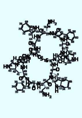 CC1(C)NC2NC(=O)[C@H](Cc3c[nH]c4ccccc34)NC(=O)[C@H](CCN)NC(=O)[C@@H](Cc3ccccc3)NC(=O)[C@H](Cc3c[nH]cn3)NC(=O)C(C)(C)NC(=O)[C@H](CSS2)NC(=O)[C@H](Cc2c[nH]c3ccccc23)NC(=O)[C@H](CCN)NC(=O)[C@@H](Cc2ccccc2)NC(=O)[C@H](Cc2c[nH]cn2)N1